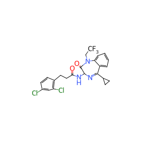 O=C(CCc1ccc(Cl)cc1Cl)NC1N=C(C2CC2)c2ccccc2N(CC(F)(F)F)C1=O